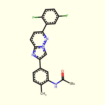 Cc1ccc(-c2cn3nc(-c4cc(F)ccc4F)ccc3n2)cc1NC(=O)C(C)(C)C